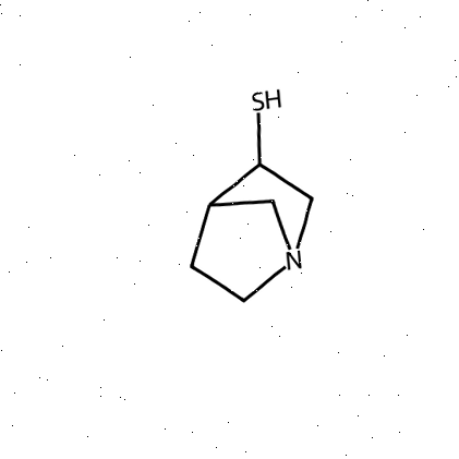 SC1CN2CCC1C2